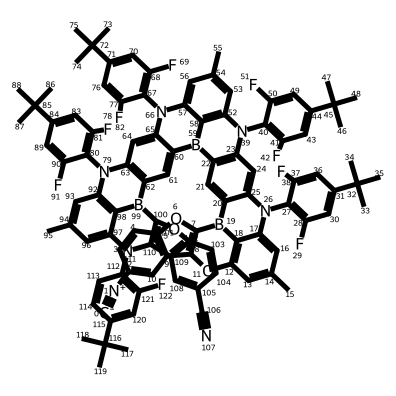 [C-]#[N+]c1ccc2oc3c(c2c1)Oc1cc(C)cc2c1B3c1cc3c(cc1N2c1c(F)cc(C(C)(C)C)cc1F)N(c1c(F)cc(C(C)(C)C)cc1F)c1cc(C)cc2c1B3c1cc3c(cc1N2c1c(F)cc(C(C)(C)C)cc1F)N(c1c(F)cc(C(C)(C)C)cc1F)c1cc(C)cc2c1B3c1oc3ccc(C#N)cc3c1N2c1ccc(C(C)(C)C)cc1F